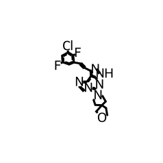 Fc1cc(Cl)c(F)c(C#Cc2n[nH]c3nc(N4CCC5(CCOC5)CC4)n4ccnc4c23)c1